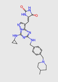 CC1CCN(Cc2ccc(CNc3nc(NC4CC4)n4ncc(/C=C5\NC(=O)NC5=O)c4n3)cc2)CC1